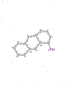 [PH]c1cccc2cc3ccccc3cc12